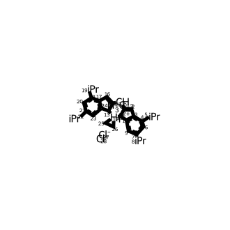 CC1=Cc2c(C(C)C)cc(C(C)C)cc2[CH]1[Hf+2]1([CH]2C(C)=Cc3c(C(C)C)cc(C(C)C)cc32)[CH2][CH2]1.[Cl-].[Cl-]